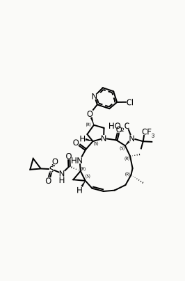 C[C@@H]1CCC=C[C@@H]2C[C@@]2(C(=O)NS(=O)(=O)C2CC2)NC(=O)[C@@H]2C[C@@H](Oc3cc(Cl)ccn3)CN2C(=O)[C@@H](N(C(=O)O)C(C)(C)C(F)(F)F)[C@H](C)C1